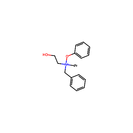 CC(C)[N+](CCO)(Cc1ccccc1)Oc1ccccc1